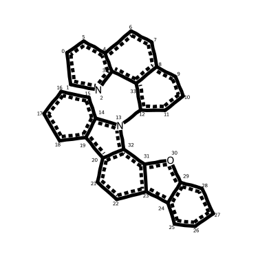 c1cnc2c(c1)ccc1cccc(-n3c4ccccc4c4ccc5c6ccccc6oc5c43)c12